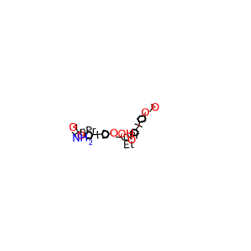 CCCC(CC)(CC(O)COc1ccc(C(C)(C)c2ccc(OC(CCC)(C(C)N)C3CO3)cc2)cc1)Oc1ccc(C(C)(C)c2ccc(OCC3CO3)cc2)cc1